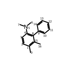 Cc1ccc(N(C)C)c(-c2ccccc2)c1C